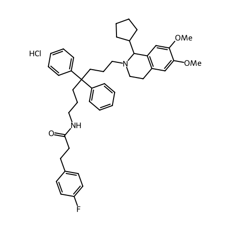 COc1cc2c(cc1OC)C(C1CCCC1)N(CCCC(CCCNC(=O)CCc1ccc(F)cc1)(c1ccccc1)c1ccccc1)CC2.Cl